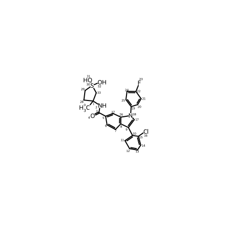 CC1(NC(=O)c2ccc3c(-c4ccccc4Cl)cn(-c4ccc(F)cc4)c3c2)CCS(O)(O)C1